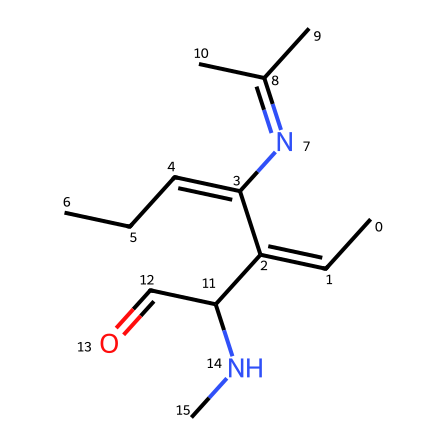 C/C=C(\C(=C/CC)N=C(C)C)C(C=O)NC